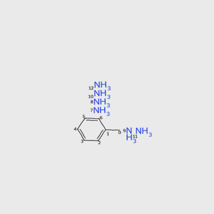 Cc1ccccc1.N.N.N.N.N.N